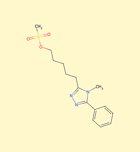 Cn1c(CCCCCOS(C)(=O)=O)nnc1-c1ccccc1